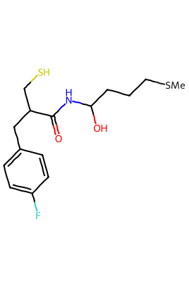 CSCCCC(O)NC(=O)C(CS)Cc1ccc(F)cc1